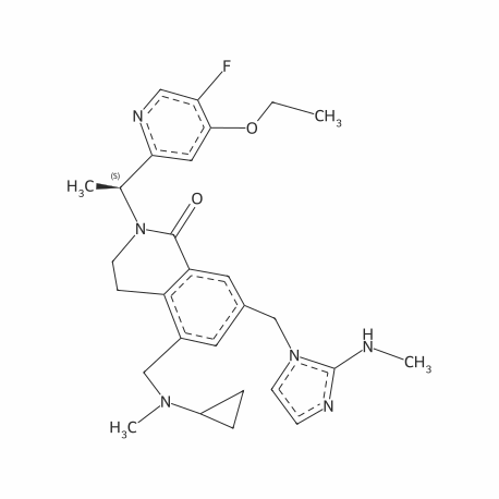 CCOc1cc([C@H](C)N2CCc3c(CN(C)C4CC4)cc(Cn4ccnc4NC)cc3C2=O)ncc1F